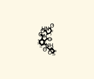 O=C1CCC(N2C(=O)c3cccc(NC(=O)c4ccco4)c3C2=O)C(=O)N1